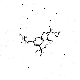 C[C@@H](C1CC1)N1Cc2cc(N=[N+]=[N-])cc(C(F)(F)F)c2C1=O